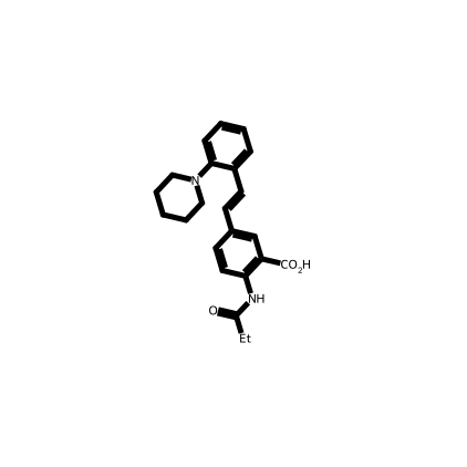 CCC(=O)Nc1ccc(C=Cc2ccccc2N2CCCCC2)cc1C(=O)O